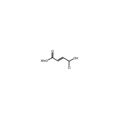 COC(=O)C=CC(O)Cl